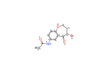 CC(=O)Nc1ccc2c(c1)C(=O)C(Br)CCO2